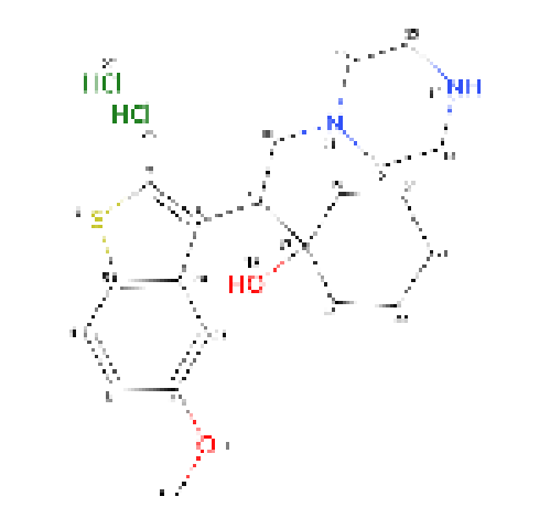 COc1ccc2scc(C(CN3CCNCC3)C3(O)CCCCC3)c2c1.Cl.Cl